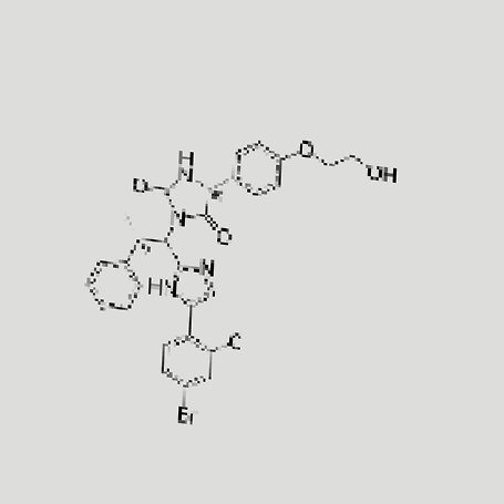 C[C@@H](c1ccccc1)C(c1ncc(-c2ccc(Br)cc2Cl)[nH]1)N1C(=O)N[C@H](c2ccc(OCCO)cc2)C1=O